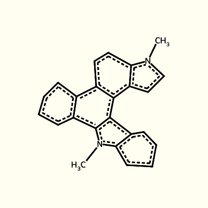 Cn1ccc2c3c(ccc21)c1ccccc1c1c3c2ccccc2n1C